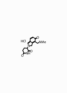 CNCC1=C2CN(C3CCC(=O)NC3=O)C=C2C=CC1=O.Cl